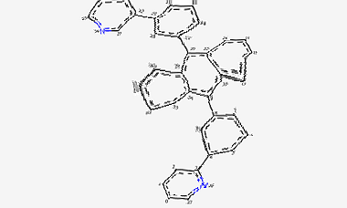 c1ccc(-c2cccc(-c3c4ccccc4c(-c4cccc(-c5cccnc5)c4)c4ccccc34)c2)nc1